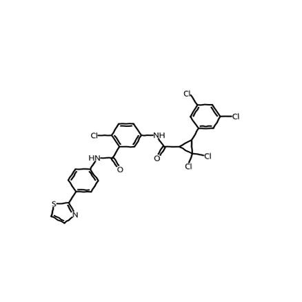 O=C(Nc1ccc(-c2nccs2)cc1)c1cc(NC(=O)C2C(c3cc(Cl)cc(Cl)c3)C2(Cl)Cl)ccc1Cl